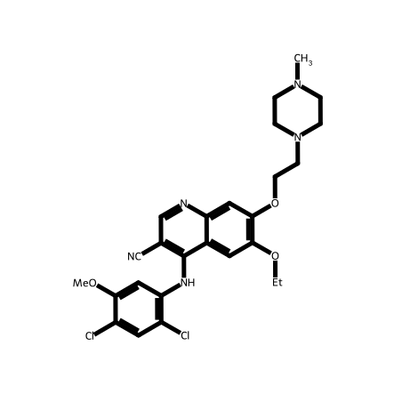 CCOc1cc2c(Nc3cc(OC)c(Cl)cc3Cl)c(C#N)cnc2cc1OCCN1CCN(C)CC1